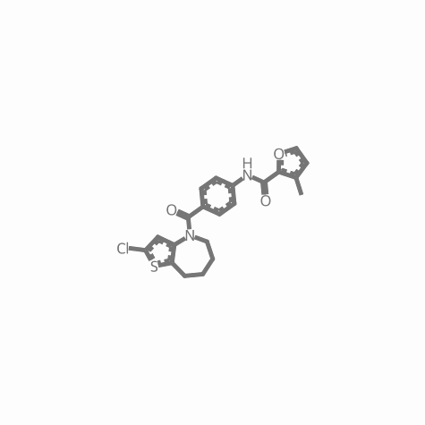 Cc1ccoc1C(=O)Nc1ccc(C(=O)N2CCCCc3sc(Cl)cc32)cc1